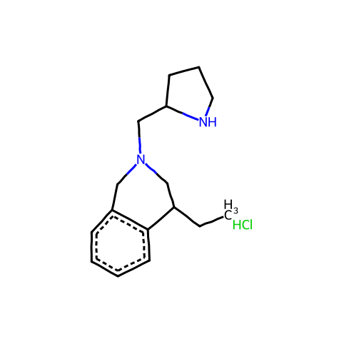 CCC1CN(CC2CCCN2)Cc2ccccc21.Cl